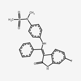 CN(c1ccc(NC(=C2C(=O)Nc3cc(F)ccc32)c2ccccc2)cc1)S(C)(=O)=O